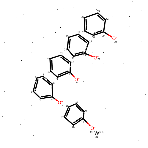 [O-]c1ccccc1.[O-]c1ccccc1.[O-]c1ccccc1.[O-]c1ccccc1.[O-]c1ccccc1.[W+5]